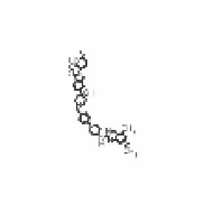 COc1cc(C)c2cnc(NC3CCN(c4ccc(CN5CCC(O)(c6ccc7c(c6)CN(C6CCC(=O)NC6=O)C7=O)CC5)cc4)CC3)nc2c1